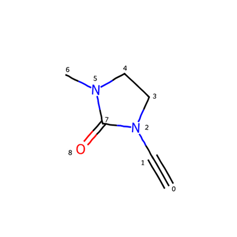 C#CN1CCN(C)C1=O